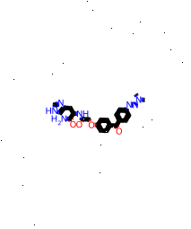 CN(C)/N=N/c1ccc(C(=O)c2ccc(OCC(=O)NC(Cc3c[nH]cn3)C(N)=O)cc2)cc1